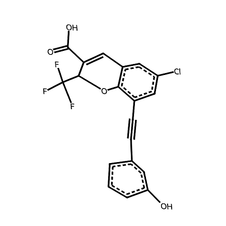 O=C(O)C1=Cc2cc(Cl)cc(C#Cc3cccc(O)c3)c2OC1C(F)(F)F